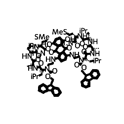 CSCC[C@H](NC(=O)[C@H](CC(C)C)NC(=O)[C@H](C)NC(=O)[C@H](CC(C)C)N(CCNc1ccc(NCCN(C(=O)OCC2c3ccccc3-c3ccccc32)[C@@H](CC(C)C)C(=O)N[C@@H](C)C(=O)N[C@@H](CC(C)C)C(=O)N[C@@H](CCSC)C(N)=O)c2c1C(=O)c1c(O)ccc(O)c1C2=O)C(=O)OCC1c2ccccc2-c2ccccc21)C(N)=O